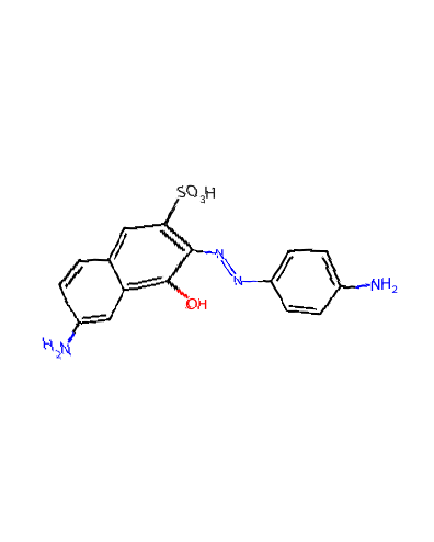 Nc1ccc(N=Nc2c(S(=O)(=O)O)cc3ccc(N)cc3c2O)cc1